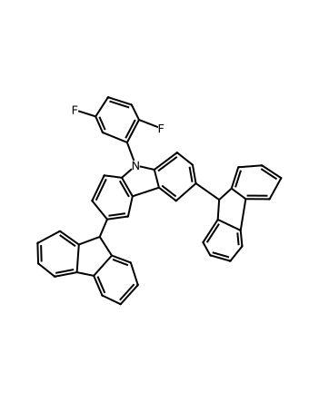 Fc1ccc(F)c(-n2c3ccc(C4c5ccccc5-c5ccccc54)cc3c3cc(C4c5ccccc5-c5ccccc54)ccc32)c1